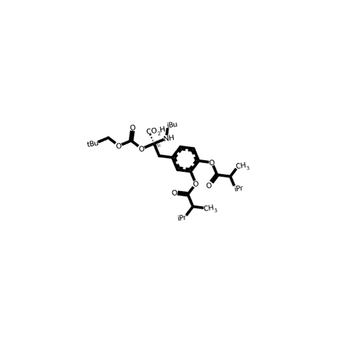 CCC(C)N[C@@](Cc1ccc(OC(=O)C(C)C(C)C)c(OC(=O)C(C)C(C)C)c1)(OC(=O)OCC(C)(C)C)C(=O)O